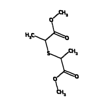 COC(=O)C(C)SC(C)C(=O)OC